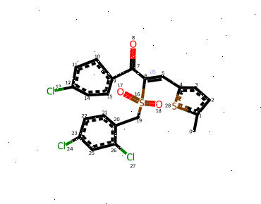 Cc1ccc(/C=C(/C(=O)c2ccc(Cl)cc2)S(=O)(=O)Cc2ccc(Cl)cc2Cl)s1